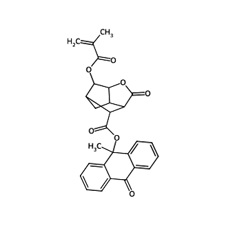 C=C(C)C(=O)OC1C2CC3C1OC(=O)C3C2C(=O)OC1(C)c2ccccc2C(=O)c2ccccc21